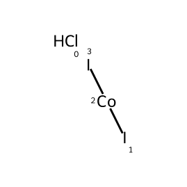 Cl.[I][Co][I]